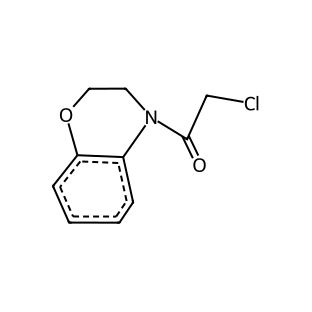 O=C(CCl)N1CCOc2ccccc21